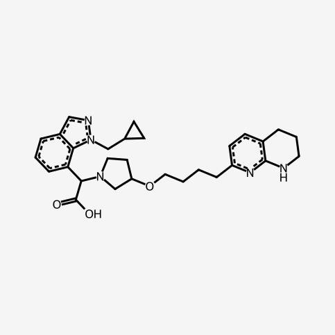 O=C(O)C(c1cccc2cnn(CC3CC3)c12)N1CCC(OCCCCc2ccc3c(n2)NCCC3)C1